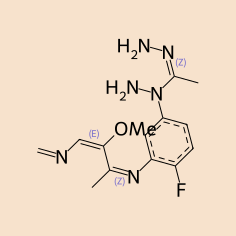 C=N/C=C(OC)\C(C)=N/c1cc(N(N)/C(C)=N\N)ccc1F